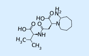 CC(C)[C@H](NC(=O)C[C@@H](C(=O)O)N1CCCCCC1N)C(=O)O